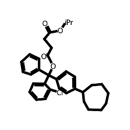 CC(C)OC(=O)CCC(=O)OC(c1ccccc1)(c1ccc(C2CCCCCCC2)cc1)c1ccccc1Cl